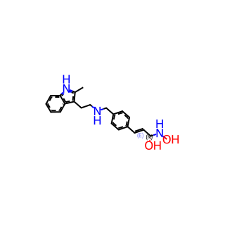 Cc1[nH]c2ccccc2c1CCNCc1ccc(/C=C/[C@@H](O)NO)cc1